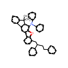 CC1(C)c2ccccc2-c2cc3c(oc4c(CC(CCc5ccccc5)c5ccccc5)cccc43)c(N(c3ccccc3)c3ccccc3)c21